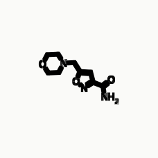 NC(=O)c1cc(CN2CCOCC2)on1